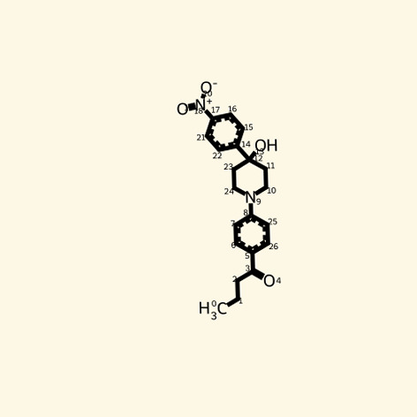 CCCC(=O)c1ccc(N2CCC(O)(c3ccc([N+](=O)[O-])cc3)CC2)cc1